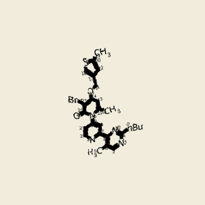 CCCCc1ncc(C)c(-c2cc(-n3c(C)cc(OCc4csc(C)c4)c(Br)c3=O)ccn2)n1